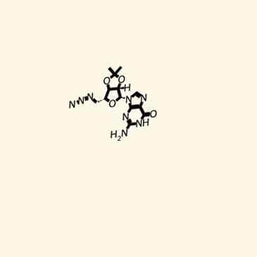 CC1(C)OC2[C@@H](CN=[N+]=[N-])O[C@@H](n3cnc4c(=O)[nH]c(N)nc43)[C@H]2O1